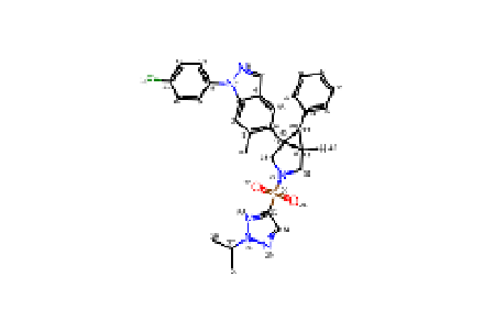 Cc1cc2c(cnn2-c2ccc(F)cc2)cc1[C@]12CN(S(=O)(=O)c3cnn(C(C)C)n3)C[C@H]1[C@@H]2c1ccccc1